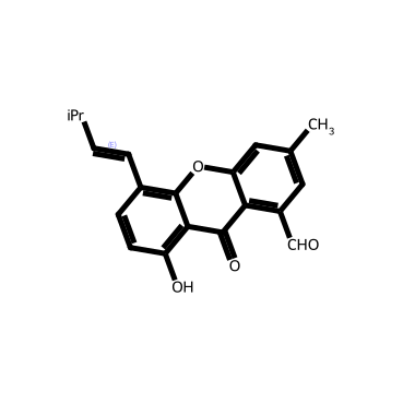 Cc1cc(C=O)c2c(=O)c3c(O)ccc(/C=C/C(C)C)c3oc2c1